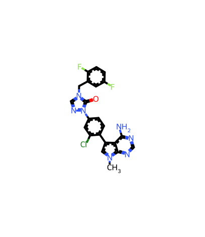 Cn1cc(-c2ccc(-n3ncn(Cc4cc(F)ccc4F)c3=O)cc2Cl)c2c(N)ncnc21